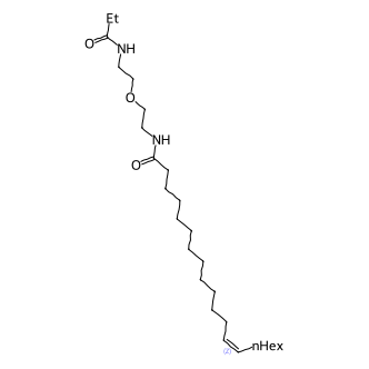 CCCCCC/C=C\CCCCCCCCCCCC(=O)NCCOCCNC(=O)CC